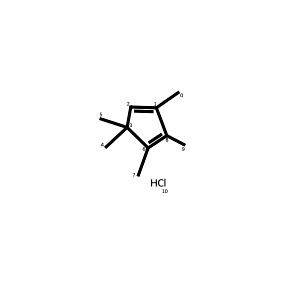 CC1=CC(C)(C)C(C)=C1C.Cl